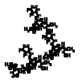 C[C@H](CO)Nc1nc(NS(=O)(=O)N2CCC2)nc(SCc2cccc(F)c2F)n1.C[C@H](CO)Nc1nc(NS(=O)(=O)N2CCC2)nc(SCc2cccc(F)c2F)n1.C[C@H](CO)Nc1nc(NS(C)(=O)=O)nc(SCc2cccc(F)c2F)n1.NS(=O)(=O)N1CCOCC1